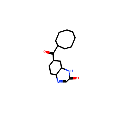 O=C1C=NC2CCC(C(=O)C3CCCCCCC3)CC2N1